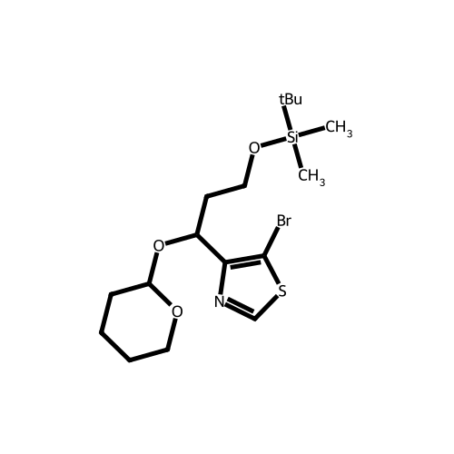 CC(C)(C)[Si](C)(C)OCCC(OC1CCCCO1)c1ncsc1Br